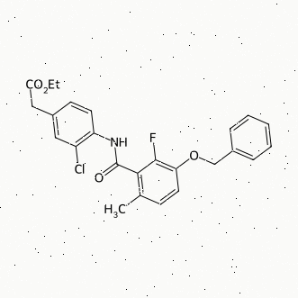 CCOC(=O)Cc1ccc(NC(=O)c2c(C)ccc(OCc3ccccc3)c2F)c(Cl)c1